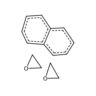 C1CO1.C1CO1.c1ccc2ccccc2c1